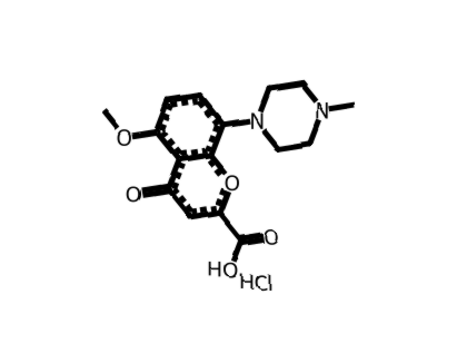 COc1ccc(N2CCN(C)CC2)c2oc(C(=O)O)cc(=O)c12.Cl